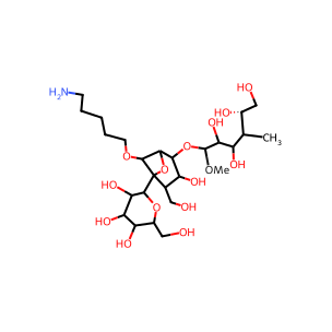 COC(OC1C(O)C(CO)C2(C3OC(CO)C(O)C(O)C3O)OC1C2OCCCCCN)C(O)C(O)C(C)[C@H](O)CO